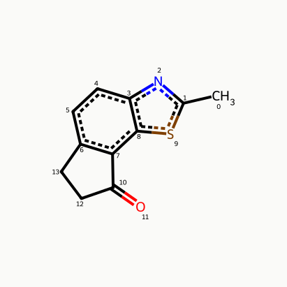 Cc1nc2ccc3c(c2s1)C(=O)CC3